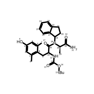 Cc1cc(O)cc(C)c1CC(NC(=O)OC(C)(C)C)C(=O)N(C1CCc2ccccc21)[C@H](C)C(N)=O